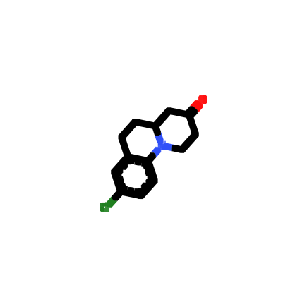 O=C1CCN2c3ccc(Cl)cc3CCC2C1